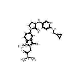 CN(C)C(=O)Cn1c(=O)c2cc(N3CC[C@@H](Oc4ccc(OCC5CC5)nc4)C3=O)ccc2n1C